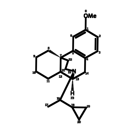 COc1ccc2c(c1)[C@]13CCCCC1[C@H](C2)N(C(C)C1CC1)CC3